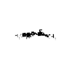 CCCCCCOc1ccc(/C=C/C2CCC(c3ccc(-c4ccc(C)cc4)c(F)c3F)CC2)cc1F